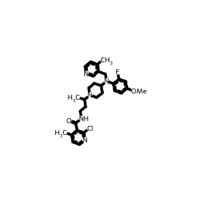 COc1ccc(N(Cc2cnccc2C)C2CCN(C(C)CCNC(=O)c3c(C)ccnc3Cl)CC2)c(F)c1